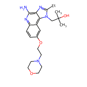 CCc1nc2c(N)nc3ccc(OCCN4CCOCC4)cc3c2n1CC(C)(C)O